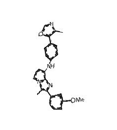 COc1cccc(-c2nc3c(Nc4ccc(-c5ocnc5C)cc4)cccn3c2C)c1